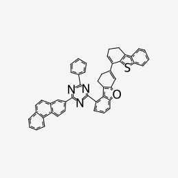 C1=C(C2=CCCc3c2sc2ccccc32)CCc2c1oc1cccc(-c3nc(-c4ccccc4)nc(-c4ccc5c(ccc6ccccc65)c4)n3)c21